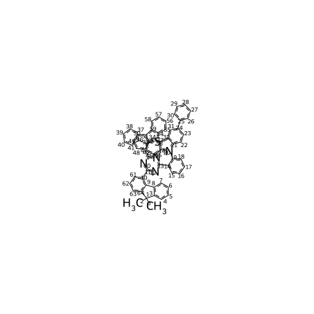 CC1(C)c2ccccc2-c2c(-c3nc(-c4ccccc4-n4c5ccc(-c6ccccc6)cc5c5cc(-c6ccccc6)ccc54)nc(-c4cccc5c4sc4ccccc45)n3)cccc21